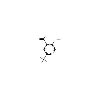 COc1cnc(C(C)(C)C)cc1C(=O)O